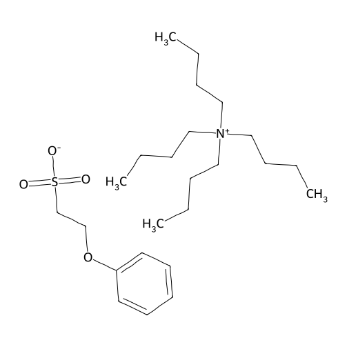 CCCC[N+](CCCC)(CCCC)CCCC.O=S(=O)([O-])CCOc1ccccc1